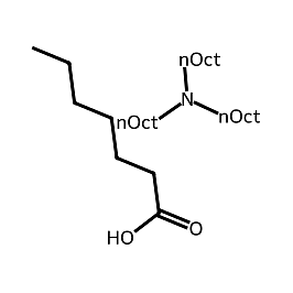 CCCCCCC(=O)O.CCCCCCCCN(CCCCCCCC)CCCCCCCC